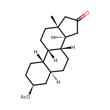 CC(=O)O[C@H]1CC[C@H]2[C@@H](CC[C@@H]3[C@H]2CC[C@]2(C)CC(=O)C[C@@H]32)C1